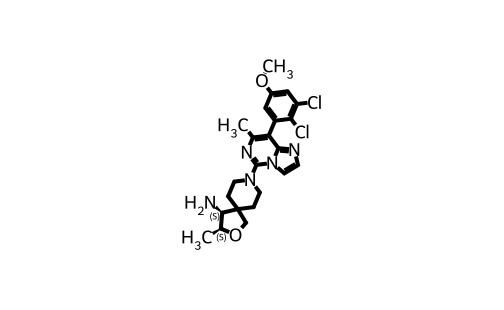 COc1cc(Cl)c(Cl)c(-c2c(C)nc(N3CCC4(CC3)CO[C@@H](C)[C@H]4N)n3ccnc23)c1